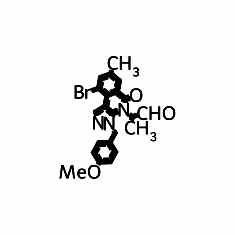 COc1ccc(Cn2ncc3c4c(Br)cc(C)cc4c(=O)n(C(C)C=O)c32)cc1